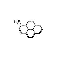 Bc1ccc2ccc3cccc4ccc1c2c34